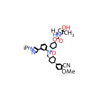 COc1ccc([C@H]2CC[C@H](CN(c3cccc(-c4cnn(C(C)C)c4)c3)C(=O)[C@H]3CC[C@H](OC(=O)NCC(C)(C)O)CC3)CC2)cc1C#N